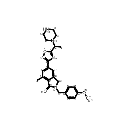 Cc1cc(-c2noc(C(C)N3CCNCC3)n2)cc2c1C(=O)N(Cc1ccc(OC(F)(F)F)cc1)C2